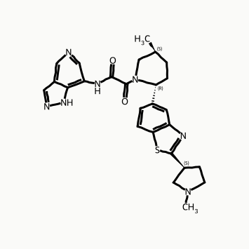 C[C@H]1CC[C@H](c2ccc3sc([C@H]4CCN(C)C4)nc3c2)N(C(=O)C(=O)Nc2cncc3cn[nH]c23)C1